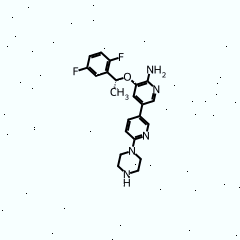 C[C@@H](Oc1cc(-c2ccc(N3CCNCC3)nc2)cnc1N)c1cc(F)ccc1F